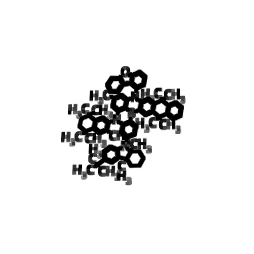 Cc1cc2c3c(c1)N(c1cccc4oc5ccccc5c14)c1cc4c(cc1B3c1ccc(N3c5ccc(C(C)(C)C)cc5C5(C)CCCCC35C)cc1N2c1cc2c(cc1C)C(C)(C)CCC2(C)C)C(C)(C)c1ccccc1C4(C)C